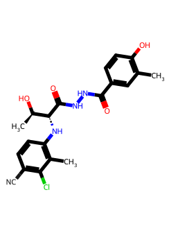 Cc1cc(C(=O)NNC(=O)[C@H](Nc2ccc(C#N)c(Cl)c2C)[C@@H](C)O)ccc1O